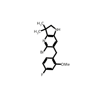 COc1cc(F)ccc1Cc1cc2c(nc1Br)C(C)(C)CN2